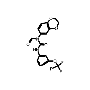 O=CN(C(=O)Nc1cccc(OC(F)(F)F)c1)c1ccc2c(c1)OCCO2